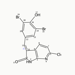 O=C1Nc2nc(Cl)ccc2/C1=C\c1cc(Br)c(O)c(Br)c1